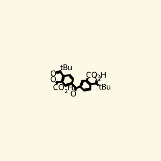 CC(C)(C)C(=O)c1ccc(C(=O)c2ccc(C(=O)C(C)(C)C)c(C(=O)C(=O)O)c2)cc1C(=O)O